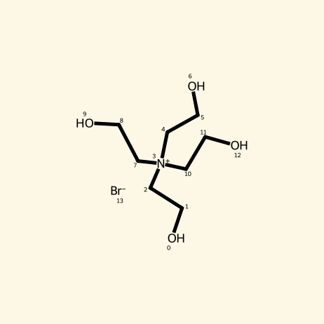 OCC[N+](CCO)(CCO)CCO.[Br-]